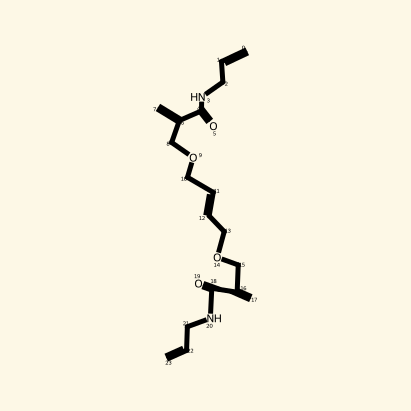 C=CCNC(=O)C(=C)COC/C=C/COCC(=C)C(=O)NCC=C